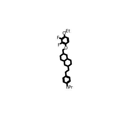 CCCc1ccc(CCC2CCC3CC(COc4ccc(OCC)c(F)c4F)CCC3C2)cc1